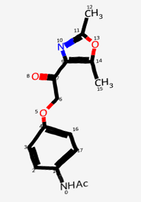 CC(=O)Nc1ccc(OCC(=O)c2nc(C)oc2C)cc1